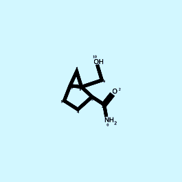 NC(=O)C1CCC2CC21CO